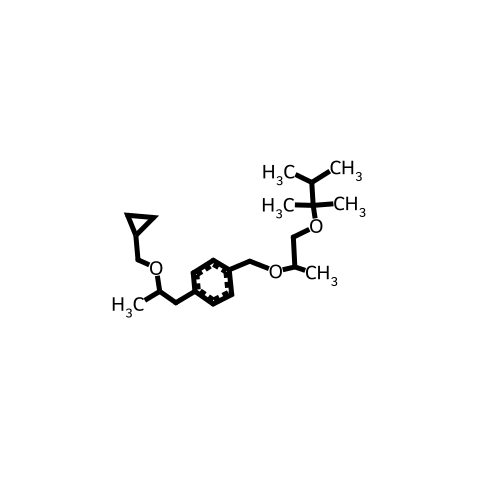 CC(COC(C)(C)C(C)C)OCc1ccc(CC(C)OCC2CC2)cc1